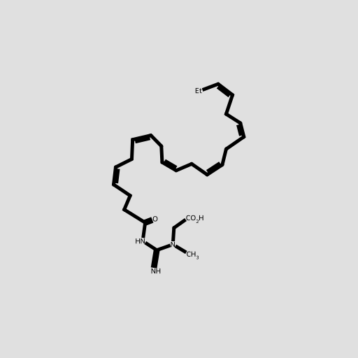 CC/C=C\C/C=C\C/C=C\C/C=C\C/C=C\C/C=C\CCC(=O)NC(=N)N(C)CC(=O)O